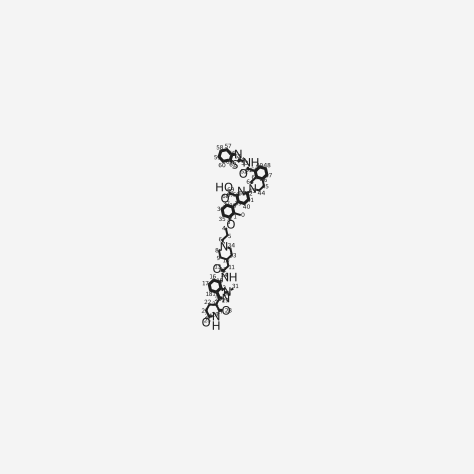 Cc1c(OCCCN2CCC(CC(=O)Nc3cccc4c(C5CCC(=O)NC5=O)nn(C)c34)CC2)cccc1-c1ccc(N2CCc3cccc(C(=O)Nc4nc5ccccc5s4)c3C2)nc1C(=O)O